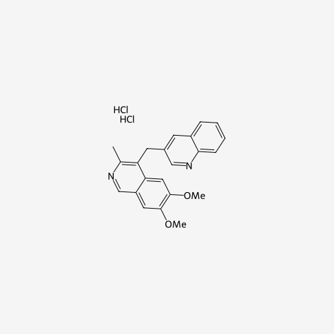 COc1cc2cnc(C)c(Cc3cnc4ccccc4c3)c2cc1OC.Cl.Cl